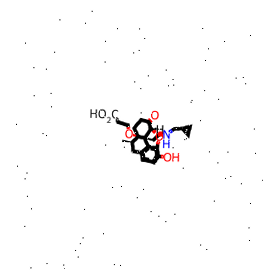 C[C@@H]1Cc2ccc(O)c3c2[C@@]2(CCNCC4CC4)[C@@H](O3)C(=O)CC[C@@]12OCCC(=O)O